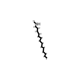 CCCCCCCCCCCCC[CH]NC